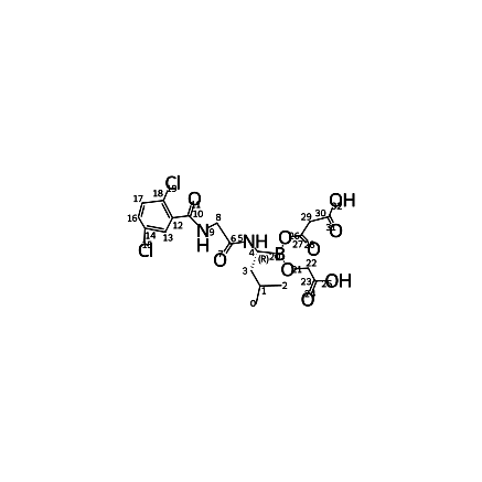 CC(C)C[C@H](NC(=O)CNC(=O)c1cc(Cl)ccc1Cl)B(OCC(=O)O)OC(=O)CC(=O)O